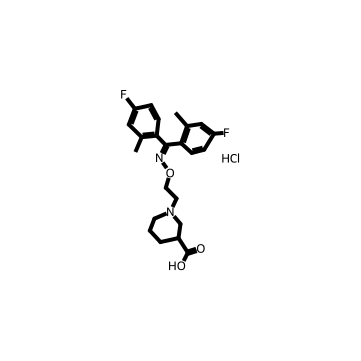 Cc1cc(F)ccc1C(=NOCCN1CCCC(C(=O)O)C1)c1ccc(F)cc1C.Cl